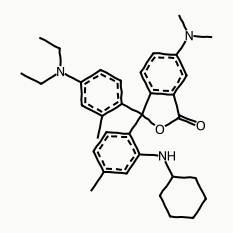 CCN(CC)c1ccc(C2(c3ccc(C)cc3NC3CCCCC3)OC(=O)c3cc(N(C)C)ccc32)c(C)c1